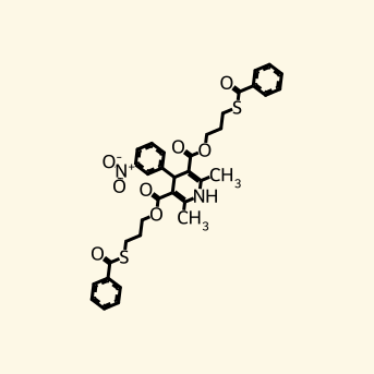 CC1=C(C(=O)OCCCSC(=O)c2ccccc2)C(c2cccc([N+](=O)[O-])c2)C(C(=O)OCCCSC(=O)c2ccccc2)=C(C)N1